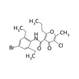 CCCc1oc(C)c(Cl)c(=O)c1C(=O)Nc1c(CC)cc(Br)cc1CC